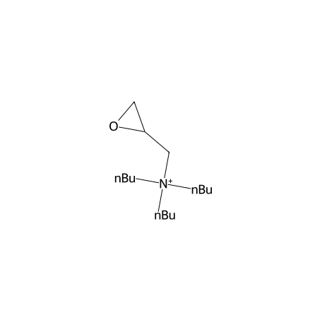 CCCC[N+](CCCC)(CCCC)CC1CO1